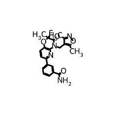 Cc1noc(C)c1CN1C(=O)C(C)(F)Oc2ccc(-c3cccc(C(N)=O)c3)nc21